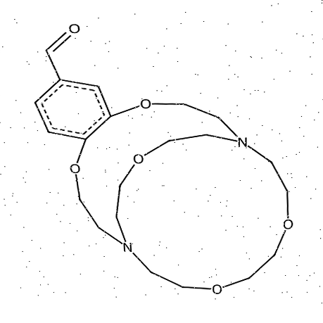 O=Cc1ccc2c(c1)OCCN1CCOCCOCCN(CCOCC1)CCO2